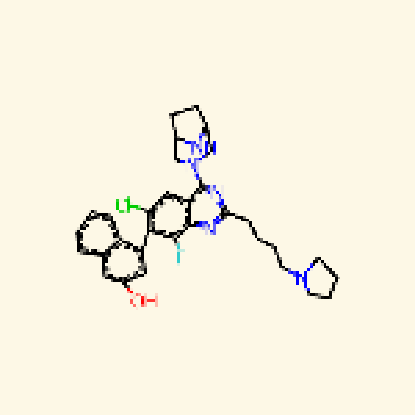 Oc1cc(-c2c(Cl)cc3c(N4CC5CCC(C4)N5)nc(CCCCN4CCCC4)nc3c2F)c2ccccc2c1